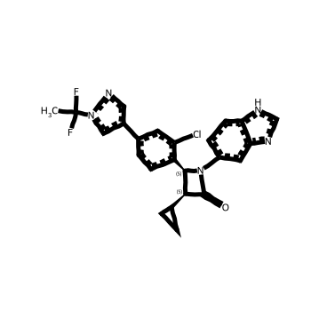 CC(F)(F)n1cc(-c2ccc([C@@H]3[C@H](C4CC4)C(=O)N3c3ccc4[nH]cnc4c3)c(Cl)c2)cn1